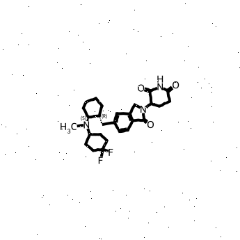 CN(C1CCC(F)(F)CC1)[C@H]1CCCC[C@@H]1Cc1ccc2c(c1)CN(C1CCC(=O)NC1=O)C2=O